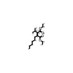 CCCCCC/C(C(=O)OCC)=C(/C(=O)OCC)C(C)C